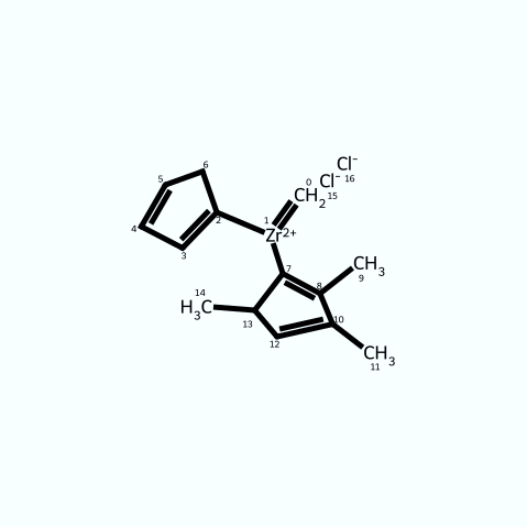 [CH2]=[Zr+2]([C]1=CC=CC1)[C]1=C(C)C(C)=CC1C.[Cl-].[Cl-]